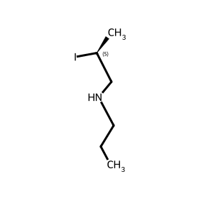 CCCNC[C@H](C)I